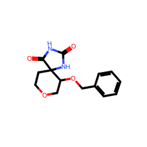 O=C1NC(=O)C2(CCOCC2OCc2ccccc2)N1